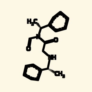 C[C@H](c1ccccc1)N(C=O)C(=O)CN[C@H](C)c1ccccc1